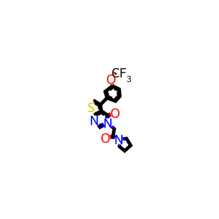 O=C(Cn1cnc2scc(-c3cccc(OC(F)(F)F)c3)c2c1=O)N1CCCC1